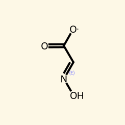 [O]C(=O)/C=N/O